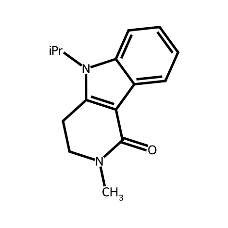 CC(C)n1c2c(c3ccccc31)C(=O)N(C)CC2